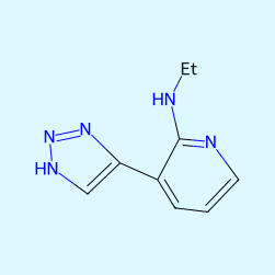 CCNc1ncccc1-c1c[nH]nn1